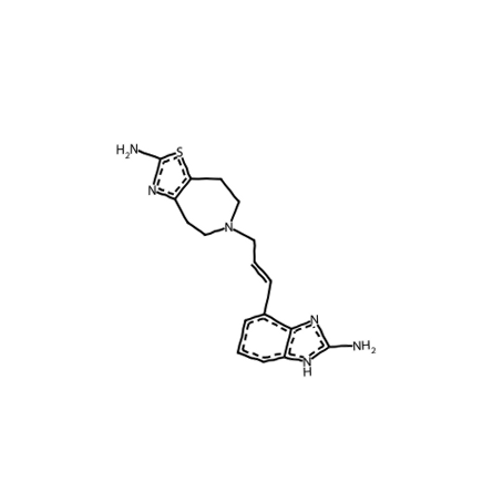 Nc1nc2c(C=CCN3CCc4nc(N)sc4CC3)cccc2[nH]1